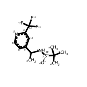 CC(N[S@@+]([O-])C(C)(C)C)c1ccnc(C(F)(F)F)c1